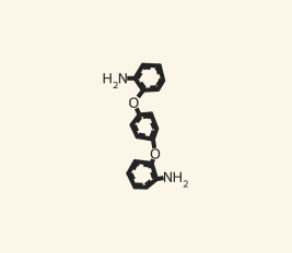 Nc1ccccc1Oc1ccc(Oc2ccccc2N)cc1